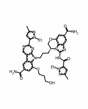 CCn1nc(C)cc1C(=O)Nc1nc2cc(C(N)=O)cc3c2n1[C@@H](CCCn1c2nc(-c4cc(C)nn4CC)ncc2c2cc(C(N)=O)cc(OCCCO)c21)CO3